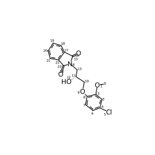 COc1cc(Cl)ccc1OC[C@H](O)CN1C(=O)c2ccccc2C1=O